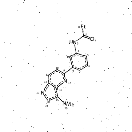 CCC(=O)Nc1cccc(-c2ccc3nnc(NC)n3n2)c1